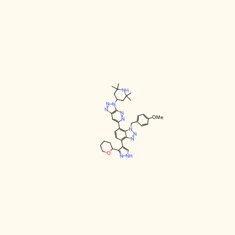 COc1ccc(Cn2nnc3c(-c4c[nH]nc4C4CCCCO4)ccc(-c4cc5nnn(C6CC(C)(C)NC(C)(C)C6)c5nn4)c32)cc1